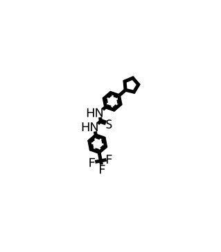 FC(F)(F)c1ccc(NC(=S)Nc2ccc(C3CCCC3)cc2)cc1